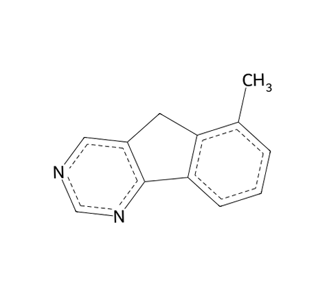 Cc1cccc2c1Cc1cncnc1-2